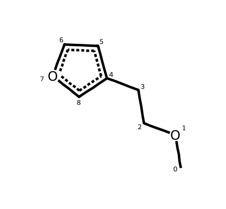 COCCc1ccoc1